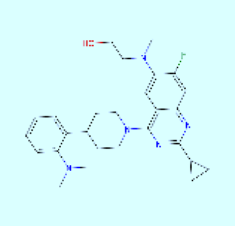 CN(C)c1ccccc1C1CCN(c2nc(C3CC3)nc3cc(F)c(N(C)CCO)cc23)CC1